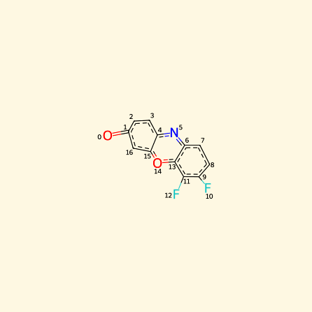 O=c1ccc2nc3ccc(F)c(F)c3oc-2c1